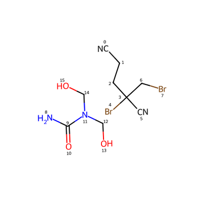 N#CCCC(Br)(C#N)CBr.NC(=O)N(CO)CO